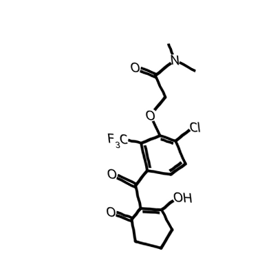 CN(C)C(=O)COc1c(Cl)ccc(C(=O)C2=C(O)CCCC2=O)c1C(F)(F)F